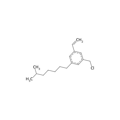 C=Cc1cc(CCl)cc(CCCCCC(C)C)c1